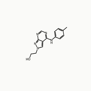 Cc1ccc(Nc2ncnc3nn(CCO)cc23)cc1